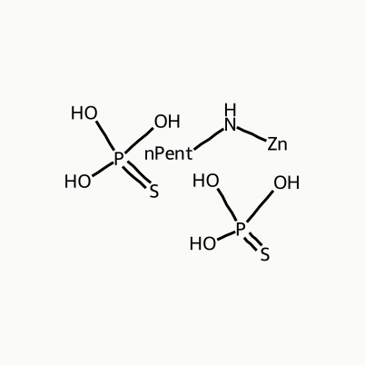 CCCCC[NH][Zn].OP(O)(O)=S.OP(O)(O)=S